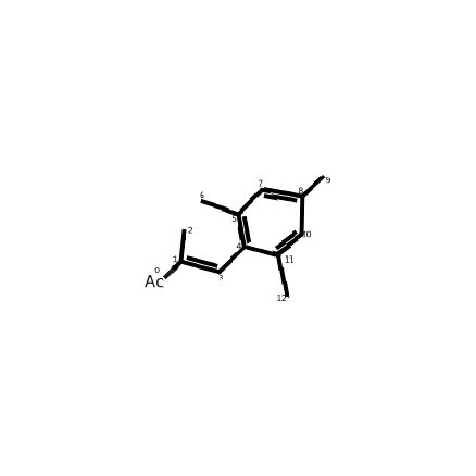 CC(=O)C(C)=Cc1c(C)cc(C)cc1C